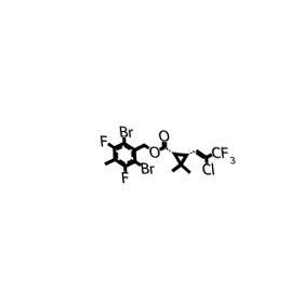 Cc1c(F)c(Br)c(COC(=O)[C@@H]2[C@H](/C=C(\Cl)C(F)(F)F)C2(C)C)c(Br)c1F